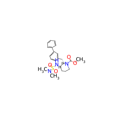 COC(=O)N1CCC[C@H](NS(=O)(=O)N(C)C)[C@@H]1Cc1cccc(-c2ccccc2)c1